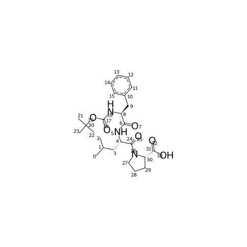 CC(C)C[C@H](NC(=O)[C@H](Cc1ccccc1)NC(=O)OC(C)(C)C)C(=O)N1CCC[C@H]1C(=O)O